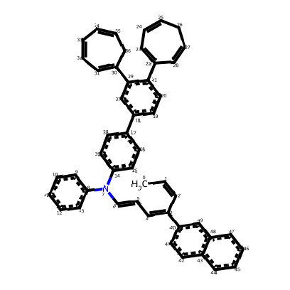 C\C=C/C(=C\C=C\N(c1ccccc1)c1ccc(-c2ccc(C3=CC=CCC=C3)c(C3=CC=CC=CC3)c2)cc1)c1ccc2ccccc2c1